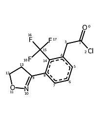 O=C(Cl)Cc1cccc(C2=NOCC2)c1C(F)(F)F